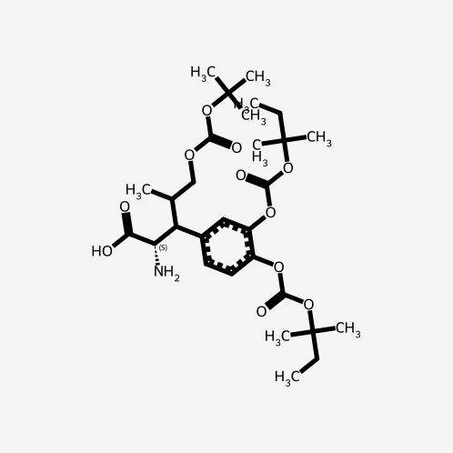 CCC(C)(C)OC(=O)Oc1ccc(C(C(C)COC(=O)OC(C)(C)C)[C@H](N)C(=O)O)cc1OC(=O)OC(C)(C)CC